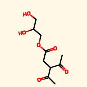 CC(=O)C(CC(=O)OCC(O)CO)C(C)=O